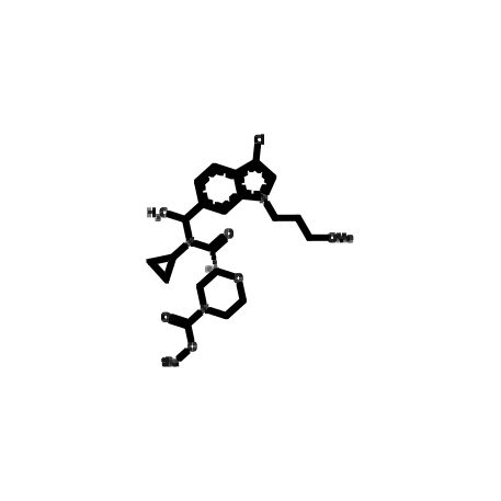 COCCCn1cc(Cl)c2ccc(C(C)N(C(=O)[C@H]3CN(C(=O)OC(C)(C)C)CCO3)C3CC3)cc21